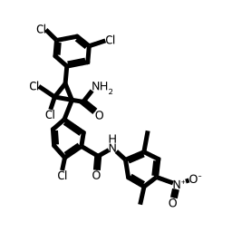 Cc1cc([N+](=O)[O-])c(C)cc1NC(=O)c1cc(C2(C(N)=O)C(c3cc(Cl)cc(Cl)c3)C2(Cl)Cl)ccc1Cl